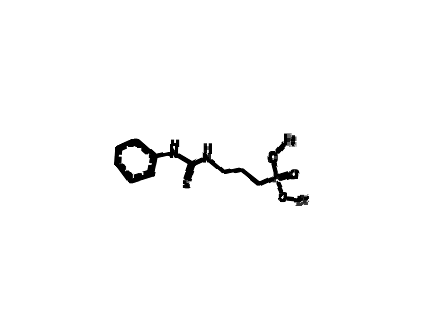 CCOP(=O)(CCCNC(=S)Nc1ccccc1)OCC